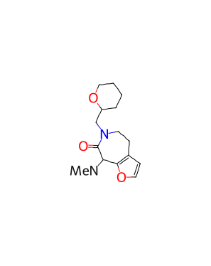 CNC1C(=O)N(CC2CCCCO2)CCc2ccoc21